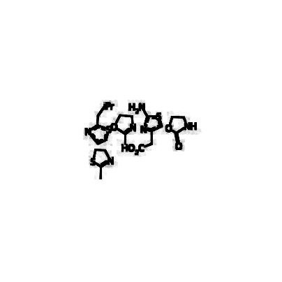 CC(C)Cc1nccs1.CC1=NCCO1.CC1=NCCS1.Nc1nc(CC(=O)O)cs1.O=C1NCCO1